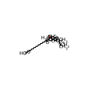 CC(C)=CCCC(C)C1CC[C@@]2(C)C3=C(CCC12C)C1(C)CCC(OC(=O)CCCCCCCCCCCCCCCOCCO)C(C)(C)[C@@H]1CC3